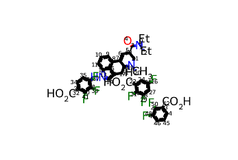 CCN(CC)C(=O)[C@@H]1C=C2c3cccc4[nH]cc(c34)C[C@H]2N(C)C1.O=C(O)c1cc(F)cc(F)c1F.O=C(O)c1ccc(F)c(F)c1F.O=C(O)c1cccc(F)c1F